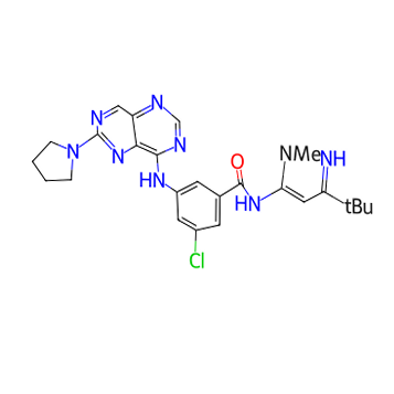 CN/C(=C\C(=N)C(C)(C)C)NC(=O)c1cc(Cl)cc(Nc2ncnc3cnc(N4CCCC4)nc23)c1